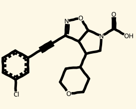 O=C(O)N1CC(C2CCOCC2)C2C(C#Cc3cccc(Cl)c3)=NOC21